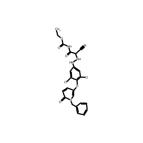 CCOC(=O)NC(=O)C(C#N)NNc1cc(Cl)c(Oc2ccc(=O)n(Cc3ccccc3)c2)c(Cl)c1